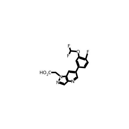 O=C(O)Cn1ncc2ncc(-c3ccc(F)c(OC(F)F)c3)cc21